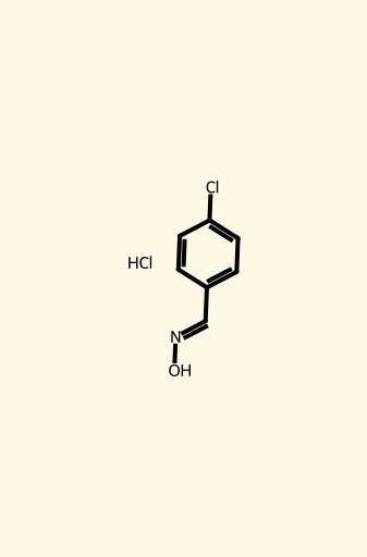 Cl.ON=Cc1ccc(Cl)cc1